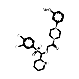 COc1cccc(N2CCN(C(=O)COC(C3CCCCN3)S(=O)(=O)c3ccc(Cl)c(Cl)c3)CC2)c1